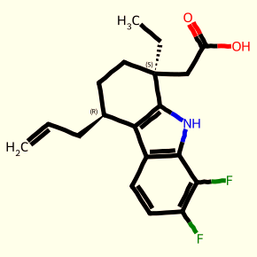 C=CC[C@H]1CC[C@@](CC)(CC(=O)O)c2[nH]c3c(F)c(F)ccc3c21